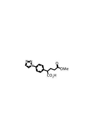 COC(=O)CCC(C(=O)O)c1ccc(-n2ccnn2)cc1